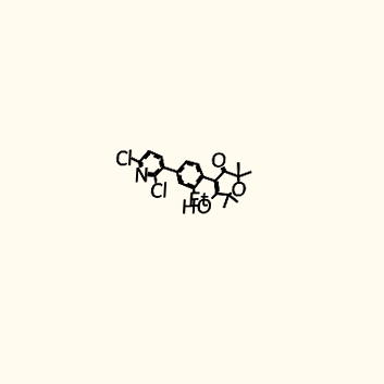 CCc1cc(-c2ccc(Cl)nc2Cl)ccc1C1=C(O)C(C)(C)OC(C)(C)C1=O